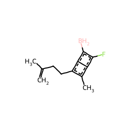 Bc1c(F)c2c(C)c(CCC(=C)C)c1-2